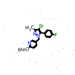 COc1ccc(Cn2nc(C)c(Br)c2-c2ccc(F)cc2)cn1